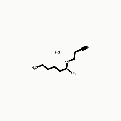 CCCCC[C@H](C)NCCC#N.Cl